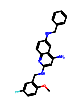 COc1ccc(F)cc1CNc1cc(N)c2cc(NCc3ccccc3)ccc2n1